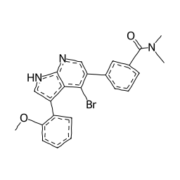 COc1ccccc1-c1c[nH]c2ncc(-c3cccc(C(=O)N(C)C)c3)c(Br)c12